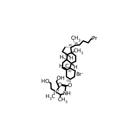 CC(C)CCC[C@@H](C)[C@H]1CC[C@H]2[C@@H]3CC=C4C[C@@H](OC(=O)NC(C)[N+](C)(CCO)CCO)CC[C@]4(C)[C@H]3CC[C@]12C.[Br-]